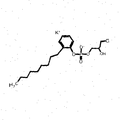 CCCCCCCCCc1ccccc1OP(=O)([O-])OCC(O)CCl.[K+]